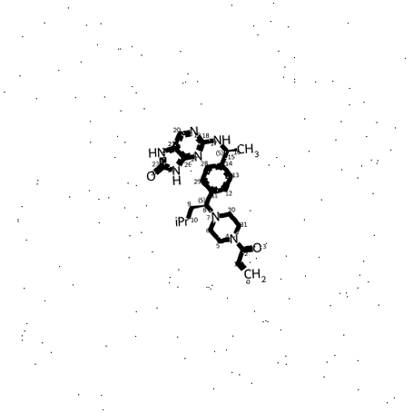 C=CC(=O)N1CCN([C@@H](CC(C)C)c2ccc([C@H](C)Nc3ncc4[nH]c(=O)[nH]c4n3)cc2)CC1